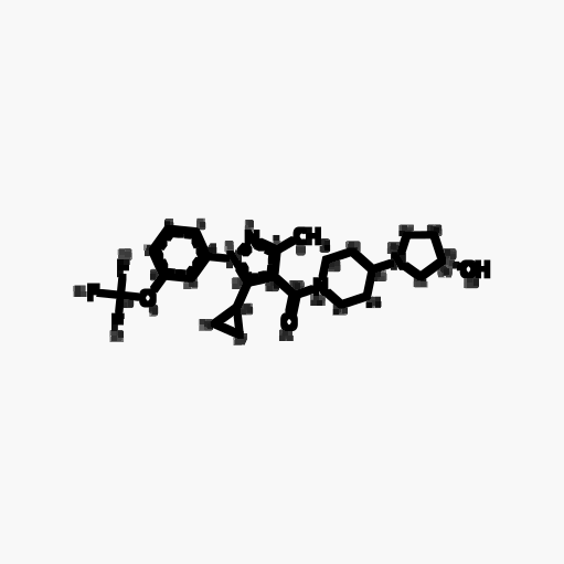 Cc1nn(-c2cccc(OC(F)(F)F)c2)c(C2CC2)c1C(=O)N1CCC(N2CC[C@H](O)C2)CC1